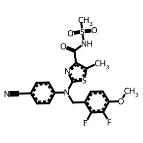 COc1ccc(CN(c2ccc(C#N)cc2)c2nc(C(=O)NS(C)(=O)=O)c(C)s2)c(F)c1F